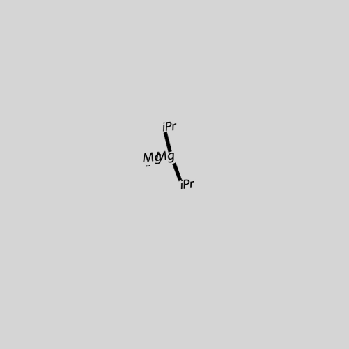 C[CH](C)[Mg][CH](C)C.[Mg]